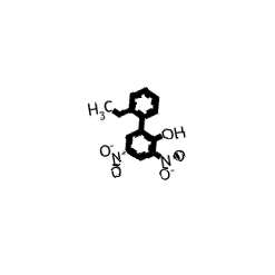 CCc1ccccc1-c1cc([N+](=O)[O-])cc([N+](=O)[O-])c1O